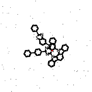 c1ccc(-c2ccc(-c3nc(-c4ccccc4)nc(-n4c5ccccc5c5ccc6c7ccccc7n(-c7ccc(-c8ccc9sc(-c%10ccccc%10)nc9c8)cc7)c6c54)n3)cc2)cc1